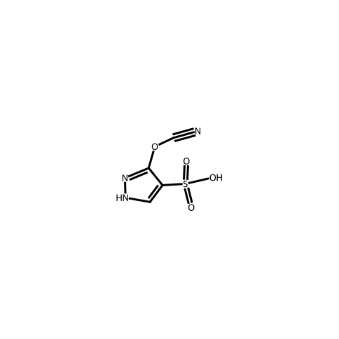 N#COc1n[nH]cc1S(=O)(=O)O